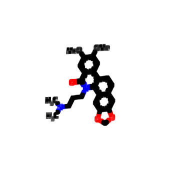 COc1cc2c(=O)n(CCCN(C)C)c3c4cc5c(cc4ccc3c2cc1OC)OCO5